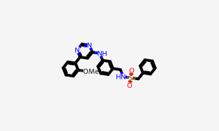 COc1ccccc1-c1cc(Nc2cccc(CNS(=O)(=O)Cc3ccccc3)c2)ncn1